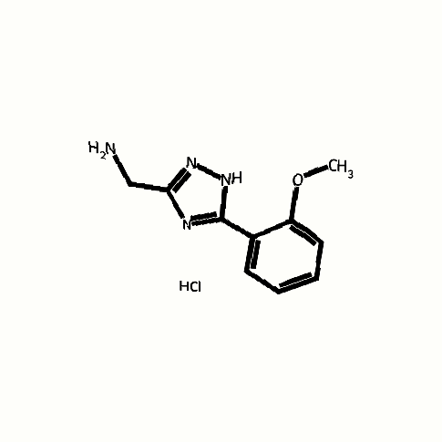 COc1ccccc1-c1nc(CN)n[nH]1.Cl